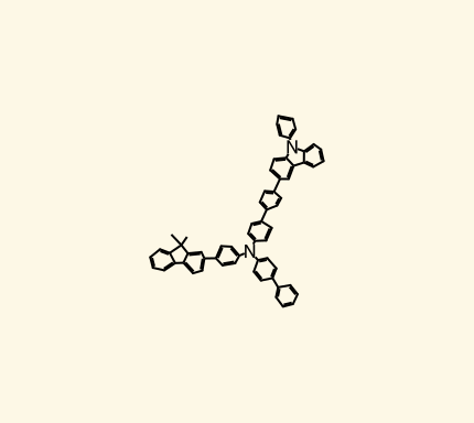 CC1(C)c2ccccc2-c2ccc(-c3ccc(N(c4ccc(-c5ccccc5)cc4)c4ccc(-c5ccc(-c6ccc7c(c6)c6ccccc6n7-c6ccccc6)cc5)cc4)cc3)cc21